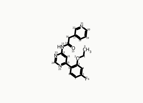 CCOc1cc(F)ccc1-c1cc(NC(=O)Cc2cccnc2)ncn1